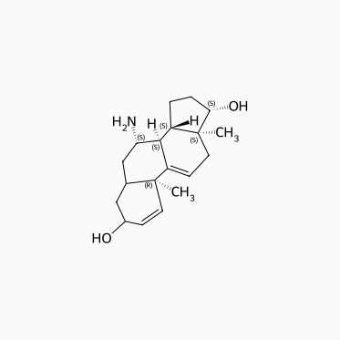 C[C@]12CC=C3[C@@H]([C@@H](N)CC4CC(O)C=C[C@]34C)[C@@H]1CC[C@@H]2O